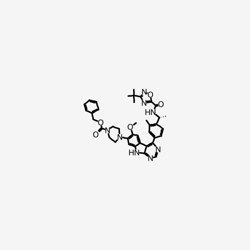 COc1cc2c(cc1N1CCN(C(=O)OCc3ccccc3)CC1)[nH]c1ncnc(-c3ccc([C@@H](C)NC(=O)c4nc(C(C)(C)C)no4)c(C)c3)c12